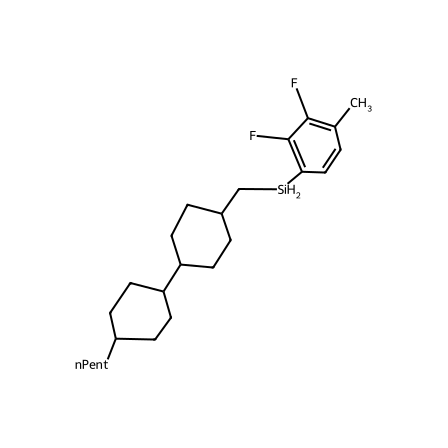 CCCCCC1CCC(C2CCC(C[SiH2]c3ccc(C)c(F)c3F)CC2)CC1